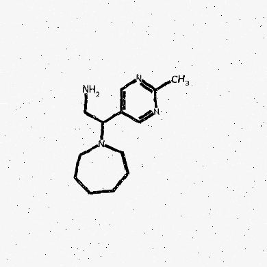 Cc1ncc(C(CN)N2CCCCCC2)cn1